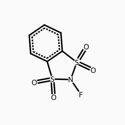 O=S1(=O)c2ccccc2S(=O)(=O)N1F